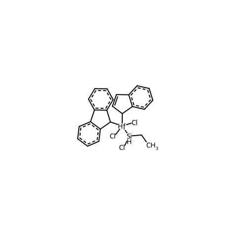 CC[SiH](Cl)[Hf]([Cl])([Cl])([CH]1C=Cc2ccccc21)[CH]1c2ccccc2-c2ccccc21